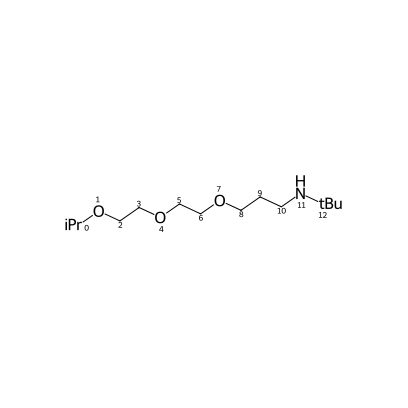 CC(C)OCCOCCOCCCNC(C)(C)C